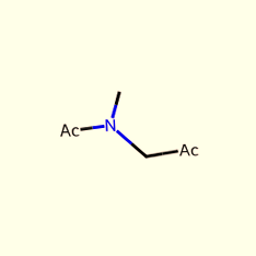 CC(=O)CN(C)C(C)=O